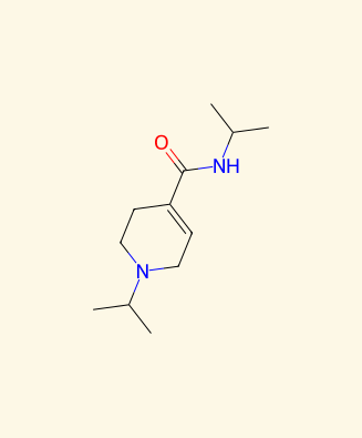 CC(C)NC(=O)C1=CCN(C(C)C)CC1